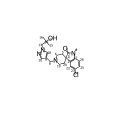 CN1C(=O)C2(CCN(Cc3cnn(CC(C)(C)O)c3)CC2)c2cc(Cl)ccc21